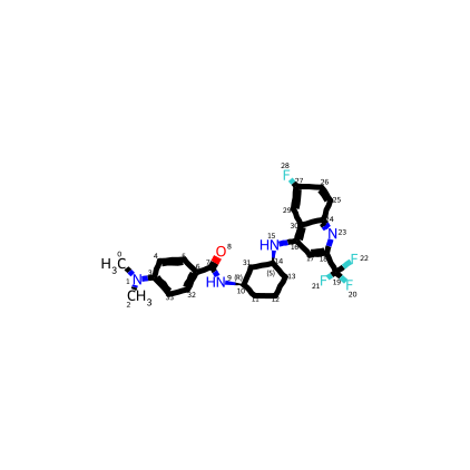 CN(C)c1ccc(C(=O)N[C@@H]2CCC[C@H](Nc3cc(C(F)(F)F)nc4ccc(F)cc34)C2)cc1